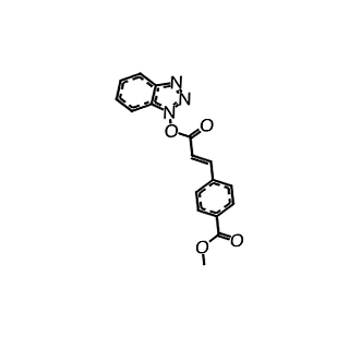 COC(=O)c1ccc(/C=C/C(=O)On2nnc3ccccc32)cc1